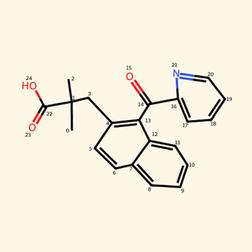 CC(C)(Cc1ccc2ccccc2c1C(=O)c1ccccn1)C(=O)O